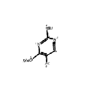 COc1nc(C(C)(C)C)ncc1C(C)=O